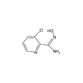 N/C(=N/O)c1ncccc1Cl